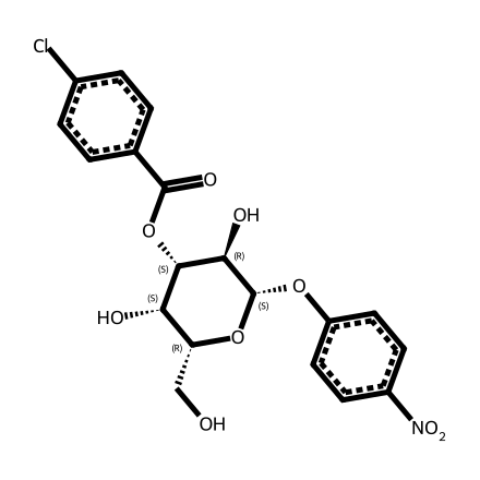 O=C(O[C@H]1[C@@H](O)[C@@H](CO)O[C@@H](Oc2ccc([N+](=O)[O-])cc2)[C@@H]1O)c1ccc(Cl)cc1